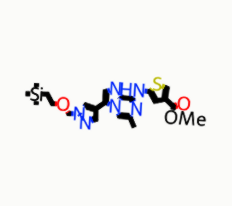 COC(=O)c1csc(Nc2nc(C)cn3c(-c4cnn(COCC[Si](C)(C)C)c4)cnc23)c1